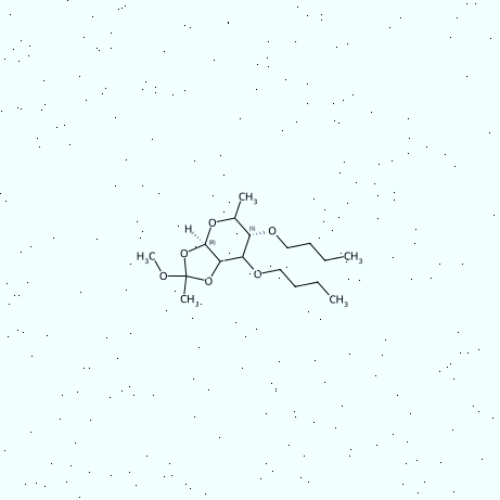 CCCCOC1C2OC(C)(OC)O[C@H]2OC(C)[C@@H]1OCCCC